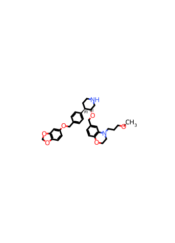 COCCCN1CCOc2ccc(CO[C@H]3CNCC[C@@H]3c3ccc(COc4ccc5c(c4)OCO5)cc3)cc21